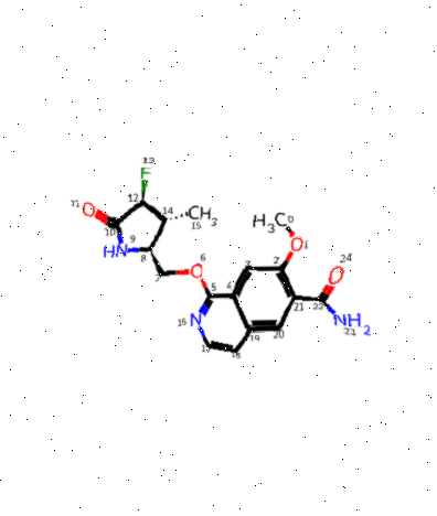 COc1cc2c(OC[C@H]3NC(=O)[C@@H](F)[C@@H]3C)nccc2cc1C(N)=O